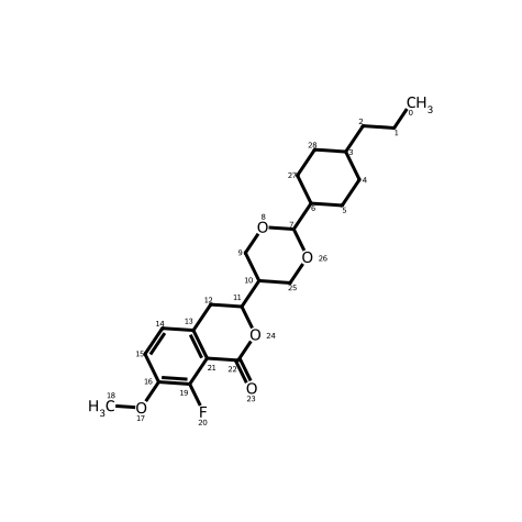 CCCC1CCC(C2OCC(C3Cc4ccc(OC)c(F)c4C(=O)O3)CO2)CC1